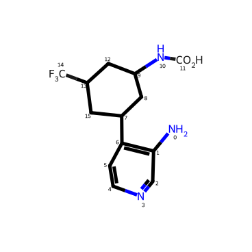 Nc1cnccc1C1CC(NC(=O)O)CC(C(F)(F)F)C1